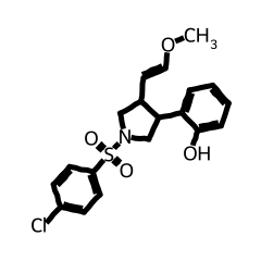 COC=CC1CN(S(=O)(=O)c2ccc(Cl)cc2)CC1c1ccccc1O